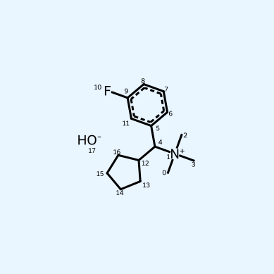 C[N+](C)(C)C(c1cccc(F)c1)C1CCCC1.[OH-]